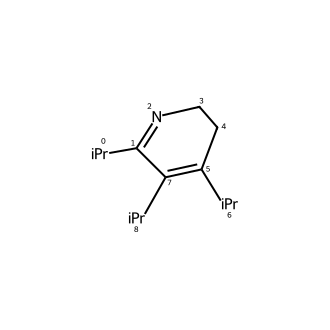 CC(C)C1=NCCC(C(C)C)=C1C(C)C